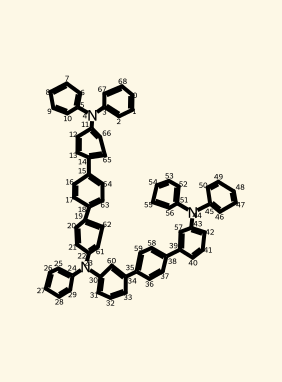 c1ccc(N(c2ccccc2)c2ccc(-c3ccc(-c4ccc(N(c5ccccc5)c5cccc(-c6ccc(-c7cccc(N(c8ccccc8)c8ccccc8)c7)cc6)c5)cc4)cc3)cc2)cc1